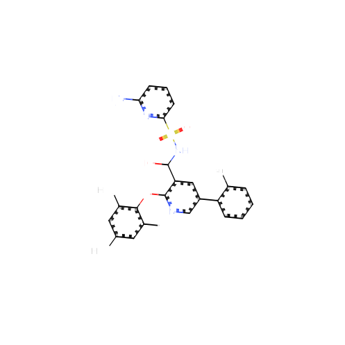 Cc1cc(C)c(Oc2ncc(-c3ccccc3C(C)(C)C)cc2C(O)NS(=O)(=O)c2cccc(N)n2)c(C)c1